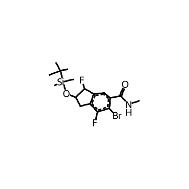 CNC(=O)c1cc2c(c(F)c1Br)CC(O[Si](C)(C)C(C)(C)C)C2F